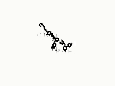 CC1(C)CCC(CN2CCN(c3ccc(C(=O)NS(=O)(=O)c4ccc(NCCCN5CCCC5)c([N+](=O)[O-])c4)c(Oc4ccc5[nH]ccc5c4)c3)CC2)=C(c2ccc(Cl)cc2)C1